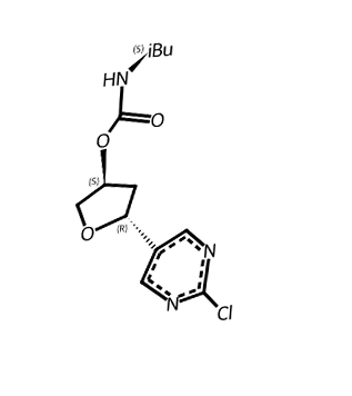 CC[C@H](C)NC(=O)O[C@@H]1CO[C@@H](c2cnc(Cl)nc2)C1